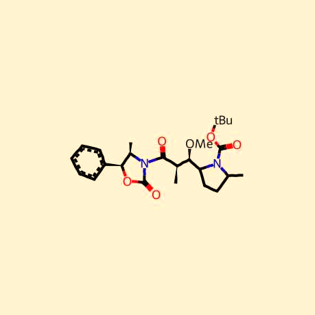 CO[C@@H](C1CCC(C)N1C(=O)OC(C)(C)C)[C@@H](C)C(=O)N1C(=O)O[C@@H](c2ccccc2)[C@H]1C